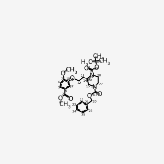 COC(=O)c1ccc(OC)c(OCC[C@@H]2CN(C(=O)OCc3ccccc3)CCN2C(=O)OC(C)(C)C)c1